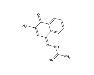 CC1=C/C(=N/NC(=N)N)c2ccccc2C1=O